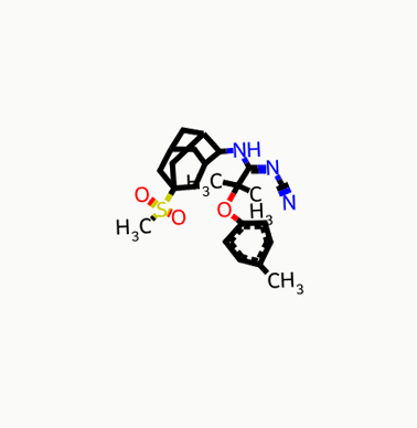 Cc1ccc(OC(C)(C)/C(=N\C#N)NC2C3CC4CC2CC(S(C)(=O)=O)(C4)C3)cc1